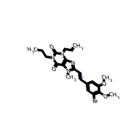 CCCn1c(=O)c2c(nc(/C=C/c3cc(Br)c(OC)c(OC)c3)n2C)n(CCC)c1=O